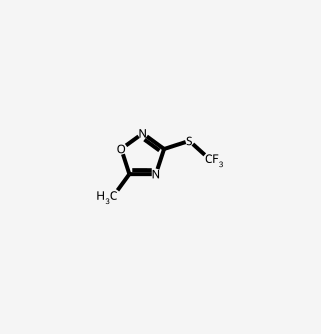 Cc1nc(SC(F)(F)F)no1